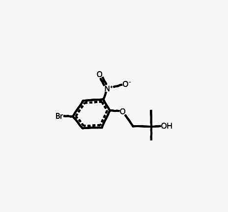 CC(C)(O)COc1ccc(Br)cc1[N+](=O)[O-]